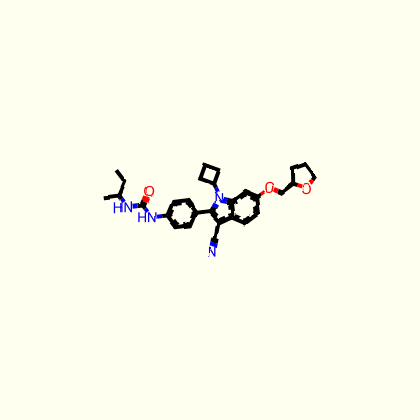 CCC(C)NC(=O)Nc1ccc(-c2c(C#N)c3ccc(OCC4CCCO4)cc3n2C2CCC2)cc1